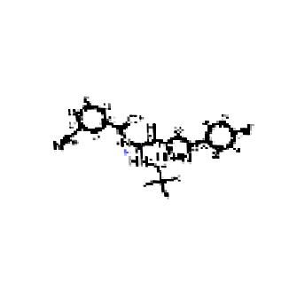 CC(C)(C)CN/C(=N/C(=O)c1cccc(C#N)c1)Nc1cc(-c2ccc(F)cc2)n[nH]1